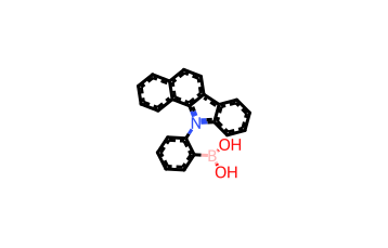 OB(O)c1ccccc1-n1c2ccccc2c2ccc3ccccc3c21